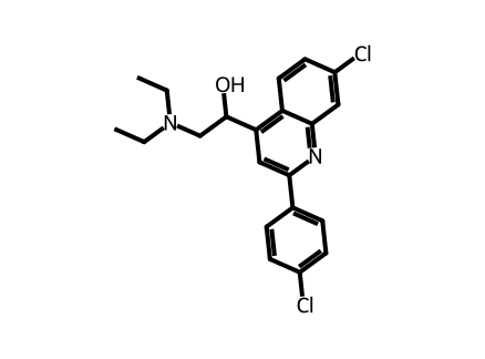 CCN(CC)CC(O)c1cc(-c2ccc(Cl)cc2)nc2cc(Cl)ccc12